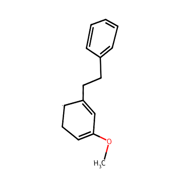 COC1=CC[CH]C(CCc2ccccc2)=C1